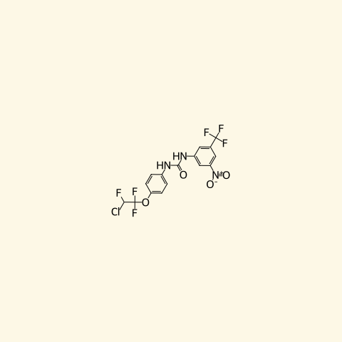 O=C(Nc1ccc(OC(F)(F)C(F)Cl)cc1)Nc1cc([N+](=O)[O-])cc(C(F)(F)F)c1